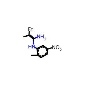 CC/C(C)=C(\N)Nc1cc([N+](=O)[O-])ccc1C